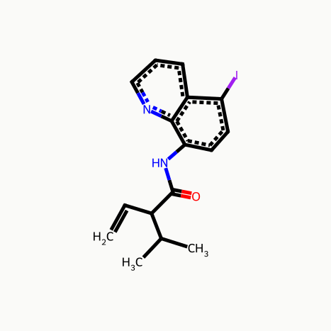 C=CC(C(=O)Nc1ccc(I)c2cccnc12)C(C)C